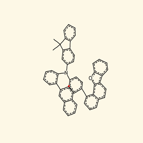 CC1(C)c2ccccc2-c2ccc(N(c3ccc(-c4cccc5ccc6c7ccccc7oc6c45)cc3)c3ccccc3-c3ccc4ccccc4c3)cc21